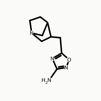 Nc1noc(CC2CN3CCC2C3)n1